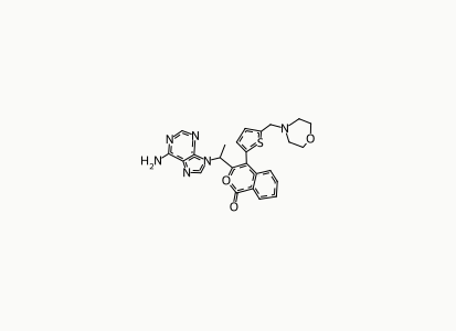 CC(c1oc(=O)c2ccccc2c1-c1ccc(CN2CCOCC2)s1)n1cnc2c(N)ncnc21